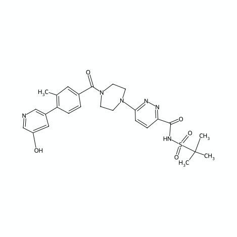 Cc1cc(C(=O)N2CCN(c3ccc(C(=O)NS(=O)(=O)C(C)(C)C)nn3)CC2)ccc1-c1cncc(O)c1